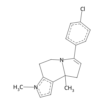 Cn1ccc2c1CCN1C(c3ccc(Cl)cc3)=CCC21C